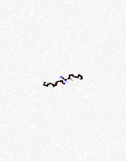 O=C1NC(c2ccc(-c3cccs3)s2)=C2C1=C(c1ccc(-c3cccs3)s1)NC2O